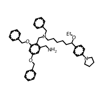 CCOC(CCCCCN(Cc1ccccc1)Cc1c(CN)cc(OCc2ccccc2)cc1OCc1ccccc1)c1ccc(N2CCCC2)cc1